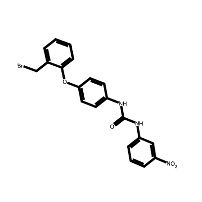 O=C(Nc1ccc(Oc2ccccc2CBr)cc1)Nc1cccc([N+](=O)[O-])c1